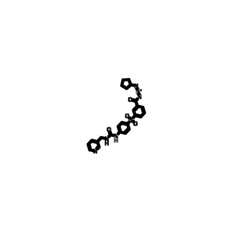 O=C(NCc1cccnc1)Nc1ccc(S(=O)(=O)c2cccc(C(=O)N=[N+]=NC3CCCC3)c2)cc1